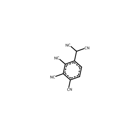 N#C[C](C#N)c1ccc(C#N)c(C#N)c1C#N